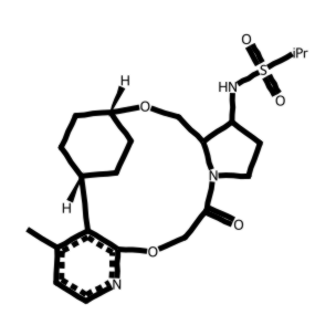 Cc1ccnc2c1[C@H]1CC[C@H](CC1)OCC1C(NS(=O)(=O)C(C)C)CCN1C(=O)CO2